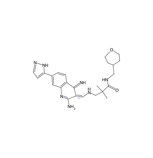 CC(C)(CN/C=C1\C(=N)c2ccc(-c3ccn[nH]3)cc2N=C1N)C(=O)NCC1CCOCC1